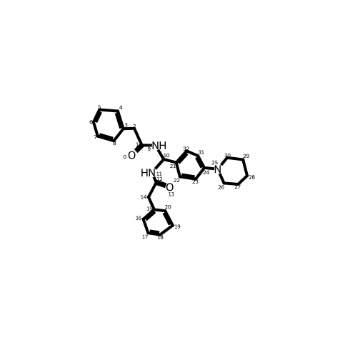 O=C(Cc1ccccc1)NC(NC(=O)Cc1ccccc1)c1ccc(N2CCCCC2)cc1